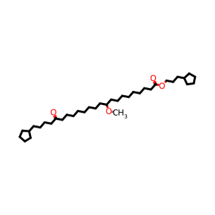 COC(CCCCCCCCC(=O)CCCCC1CCCC1)CCCCCCCCC(=O)OCCCC1CCCC1